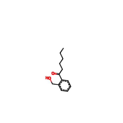 CCCCCC(=O)c1ccccc1CO